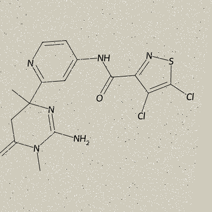 CN1C(=O)CC(C)(c2cc(NC(=O)c3nsc(Cl)c3Cl)ccn2)N=C1N